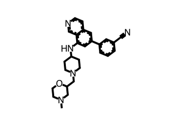 CN1CCOC(CN2CCC(Nc3cc(-c4cccc(C#N)c4)cc4ccncc34)CC2)C1